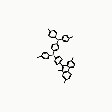 Cc1ccc(N(c2ccc(C)cc2)c2ccc(N(c3ccc(C)cc3)c3ccc(-c4c(C)c5cc(C)ccc5c5ccc(C)cc45)cc3)cc2)cc1